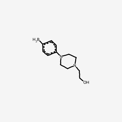 Bc1ccc(N2CCN(CCO)CC2)cc1